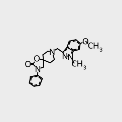 COc1ccc2c(CN3CCC4(CC3)CN(c3ccccc3)C(=O)O4)nn(C)c2c1